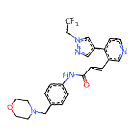 O=C(C=Cc1cnccc1-c1cnn(CC(F)(F)F)c1)Nc1ccc(CN2CCOCC2)cc1